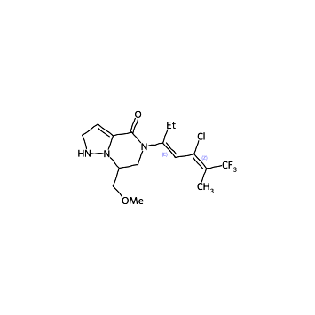 CC/C(=C\C(Cl)=C(/C)C(F)(F)F)N1CC(COC)N2NCC=C2C1=O